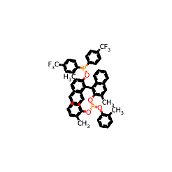 Cc1ccccc1OP(Oc1ccccc1C)Oc1c(C)cc2ccccc2c1-c1c(OP(c2ccc(C(F)(F)F)cc2)c2ccc(C(F)(F)F)cc2)c(C)cc2ccccc12